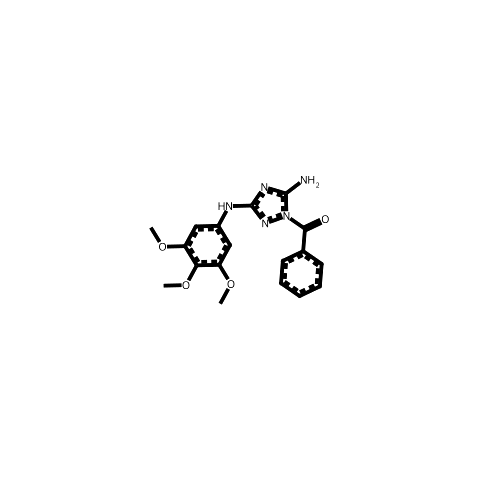 COc1cc(Nc2nc(N)n(C(=O)c3ccccc3)n2)cc(OC)c1OC